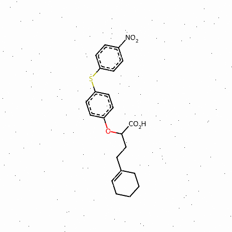 O=C(O)C(CCC1=CCCCC1)Oc1ccc(Sc2ccc([N+](=O)[O-])cc2)cc1